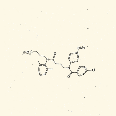 CCOC(=O)CCCN(C(=O)CCCN(C(=O)c1ccc(Cl)cc1)c1ccc(OC)cc1)c1c(C)cccc1C